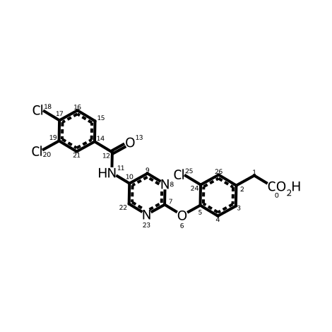 O=C(O)Cc1ccc(Oc2ncc(NC(=O)c3ccc(Cl)c(Cl)c3)cn2)c(Cl)c1